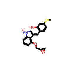 CSc1ccc(C=C2C[NH+]([O-])c3cccc(OCC4CO4)c32)c(O)c1